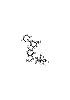 CC(N[S@+]([O-])C(C)(C)C)c1cnc2oc3c(N4CCOCC4)nc(Cl)nc3c2c1